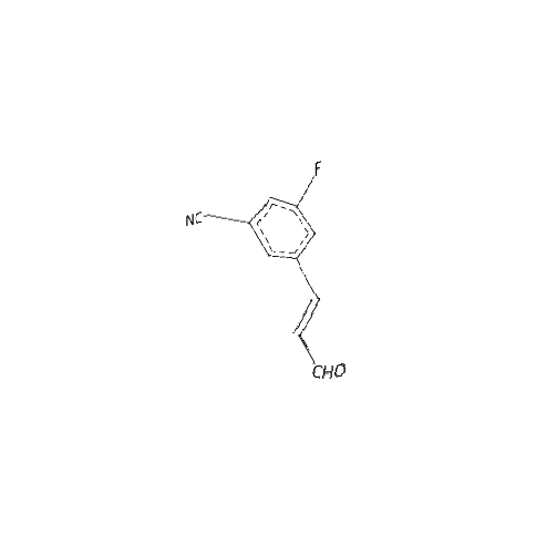 N#Cc1cc(F)cc(C=CC=O)c1